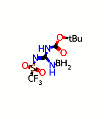 BN/C(=N\S(=O)(=O)C(F)(F)F)NC(=O)OC(C)(C)C